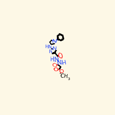 CCOC(=O)CC(=O)NNC(=O)c1cnc(NC2CCN(c3ccccc3)C2)nc1